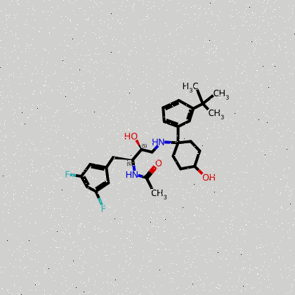 CC(=O)N[C@@H](Cc1cc(F)cc(F)c1)[C@@H](O)CNC1(c2cccc(C(C)(C)C)c2)CCC(O)CC1